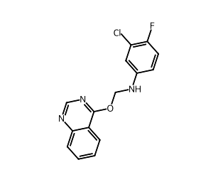 Fc1ccc(NCOc2ncnc3ccccc23)cc1Cl